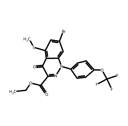 CCOC(=O)c1nn(-c2ccc(OC(F)(F)F)cc2)c2cc(Br)cc(SC)c2c1=O